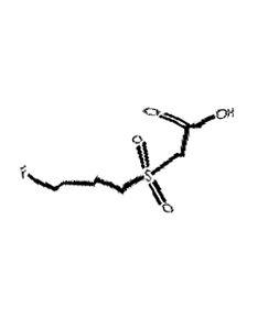 O=C(O)CS(=O)(=O)CCCF